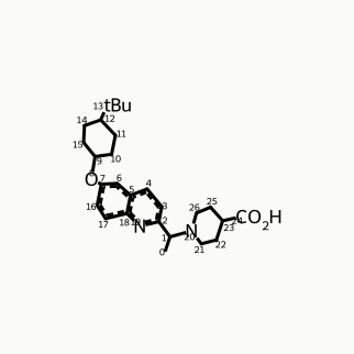 CC(c1ccc2cc(OC3CCC(C(C)(C)C)CC3)ccc2n1)N1CCC(C(=O)O)CC1